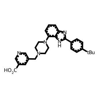 CC(C)(C)c1ccc(-c2nc3cccc(N4CCN(Cc5cncc(C(=O)O)c5)CC4)c3[nH]2)cc1